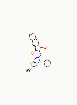 CC(C)c1cc2c(nc(C=C3C(=O)c4cc5ccccc5cc4C3=O)n2-c2ccccc2)s1